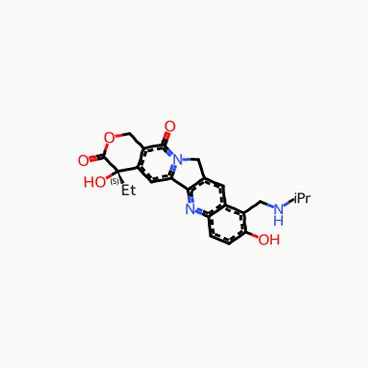 CC[C@@]1(O)C(=O)OCc2c1cc1n(c2=O)Cc2cc3c(CNC(C)C)c(O)ccc3nc2-1